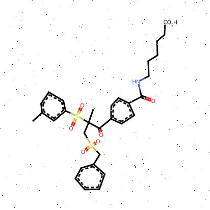 Cc1cccc(S(=O)(=O)C(C)(CS(=O)(=O)Cc2ccccc2)C(=O)c2ccc(C(=O)NCCCCCC(=O)O)cc2)c1